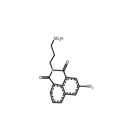 O=C1c2cccc3cc([N+](=O)[O-])cc(c23)C(=O)N1CCCS(=O)(=O)O